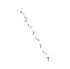 CC(=O)SCCOCCOCCOCCOCCOCCNC(=O)C(F)(F)F